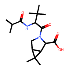 CC(C)C(=O)NC(C(=O)N1CC2C(C1C(=O)O)C2(C)C)C(C)(C)C